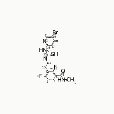 CNC(=O)c1ccc(F)c(CC/N=C(\S)Nc2ccc(Br)cn2)c1F